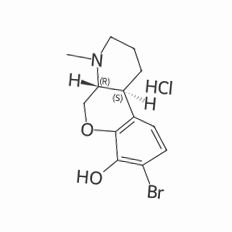 CN1CCC[C@H]2c3ccc(Br)c(O)c3OC[C@@H]21.Cl